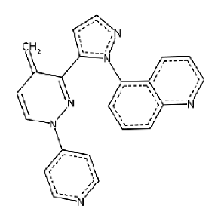 C=C1C=CN(c2ccncc2)N=C1c1ccnn1-c1cccc2ncccc12